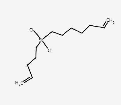 C=CCCCCC[Si](Cl)(Cl)CCCC=C